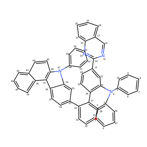 c1ccc(N(c2ccccc2)c2cc(-c3ncc4ccccc4n3)ccc2-c2ccccc2-c2ccc3c4c5ccccc5ccc4n(-c4ccccc4)c3c2)cc1